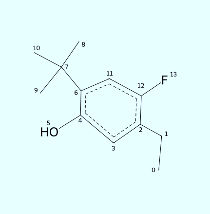 CCc1cc(O)c(C(C)(C)C)cc1F